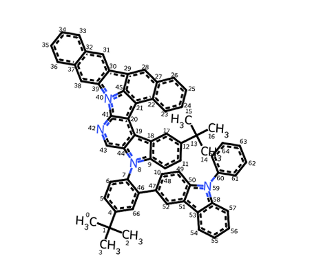 CC(C)(C)c1ccc(-n2c3ccc(C(C)(C)C)cc3c3c4c5c6ccccc6cc6c7cc8ccccc8cc7n(c4ncc32)c65)c(-c2ccc3c(c2)c2ccccc2n3-c2ccccc2)c1